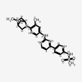 Cc1cc(Nc2nccc(-c3ccc(NS(C)(=O)=O)nc3)n2)cnc1N1CC2CC1CN2C